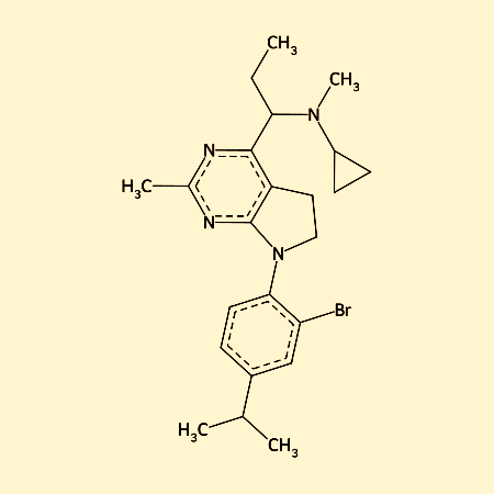 CCC(c1nc(C)nc2c1CCN2c1ccc(C(C)C)cc1Br)N(C)C1CC1